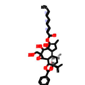 C=C(C)[C@]12C[C@@H](C)[C@@]34OC(c5ccccc5)(OC1C3C1OC1(CO)C(O)C1(O)C(OC(=O)/C=C/C=C/C=C/CCC)C(C)CC14)O2